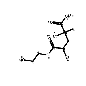 CCC(CC(C)(CC)C(=O)OC)C(=O)OCCO